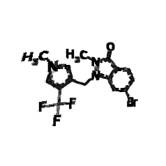 Cn1cc(Cn2c3cc(Br)ccc3c(=O)n2C)c(C(F)(F)F)c1